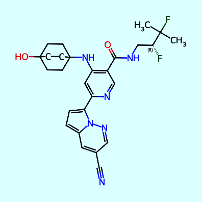 CC(C)(F)[C@H](F)CNC(=O)c1cnc(-c2ccc3cc(C#N)cnn23)cc1NC12CCC(O)(CC1)CC2